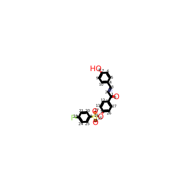 O=C(/C=C/c1ccc(O)cc1)c1ccc(OS(=O)(=O)c2ccc(F)cc2)cc1